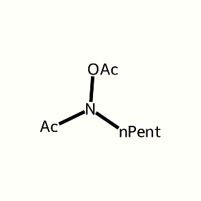 CCCCCN(OC(C)=O)C(C)=O